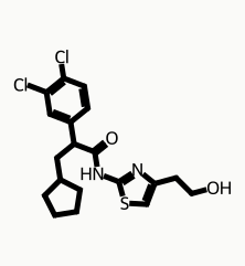 O=C(Nc1nc(CCO)cs1)C(CC1CCCC1)c1ccc(Cl)c(Cl)c1